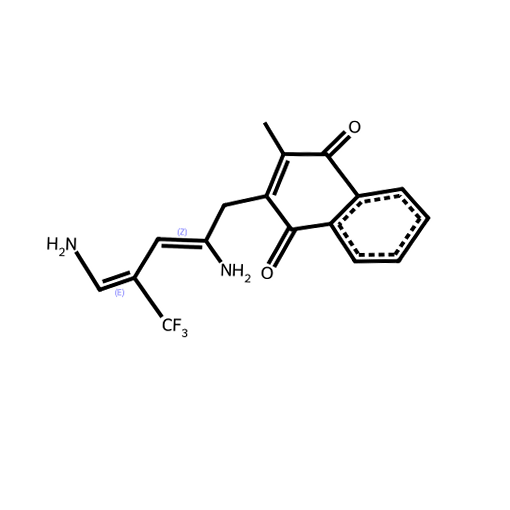 CC1=C(C/C(N)=C/C(=C\N)C(F)(F)F)C(=O)c2ccccc2C1=O